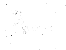 O=C(O)COc1ccc(-c2cn(C3CC3)c(=O)n2Cc2ccc(CP(=O)(OF)OF)c(Br)c2)cc1